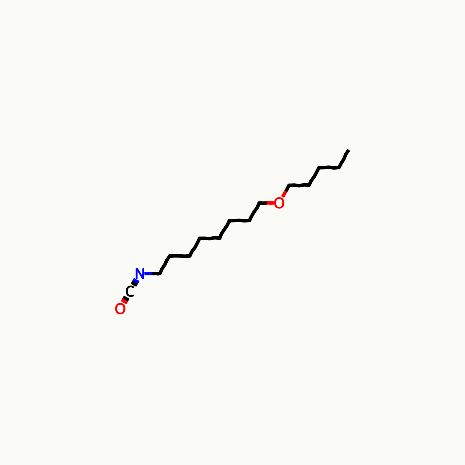 CCCCCOCCCCCCCCN=C=O